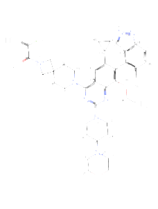 C=C(F)C(=O)N1CC2(CCN(c3nc(N4CCC(N5CCOCC5)CC4)nc4c(OCC(F)(F)F)c(-c5c(C)ccc6[nH]ncc56)c(C5CC5)cc34)CC2)C1